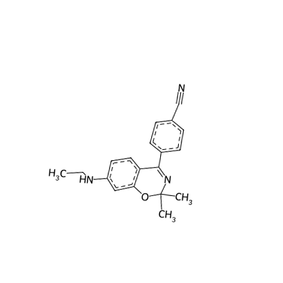 CCNc1ccc2c(c1)OC(C)(C)N=C2c1ccc(C#N)cc1